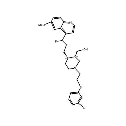 COc1ccc2nccc(C(F)CC[C@@H]3CCN(CCSc4cccc(Cl)c4)C[C@@H]3CO)c2c1